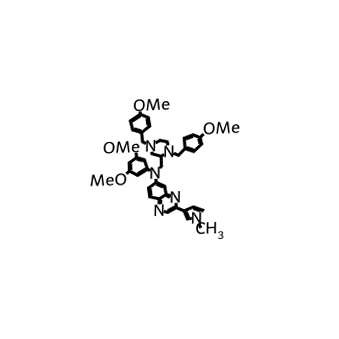 COc1ccc(CN2CCN(Cc3ccc(OC)cc3)C(CN(c3cc(OC)cc(OC)c3)c3ccc4ncc(-c5ccn(C)c5)nc4c3)C2)cc1